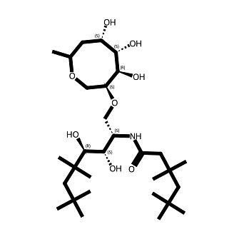 CC1C[C@H](O)[C@H](O)[C@@H](O)[C@@H](OC[C@H](NC(=O)CC(C)(C)CC(C)(C)C)[C@H](O)[C@H](O)C(C)(C)CC(C)(C)C)CO1